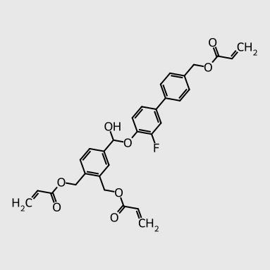 C=CC(=O)OCc1ccc(-c2ccc(OC(O)c3ccc(COC(=O)C=C)c(COC(=O)C=C)c3)c(F)c2)cc1